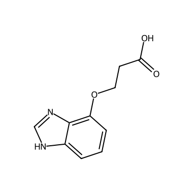 O=C(O)CCOc1cccc2[nH]cnc12